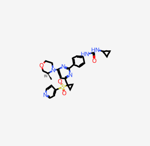 C[C@H]1COCCN1c1cc(C2(S(=O)(=O)c3ccncc3)CC2)nc(-c2ccc(NC(=O)NC3CC3)cc2)n1